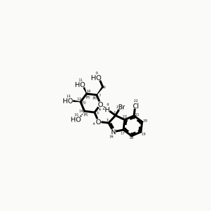 [2H]C1(Br)C(OC2O[C@H](CO)[C@H](O)[C@H](O)[C@H]2O)=Nc2cccc(Cl)c21